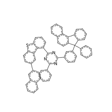 c1ccc(-c2nc(-c3cccc(C4(c5ccccc5)c5ccccc5-c5c4ccc4ccccc54)c3)nc(-c3cccc4sc5ccc(-c6ccc7ccccc7c6)cc5c34)n2)cc1